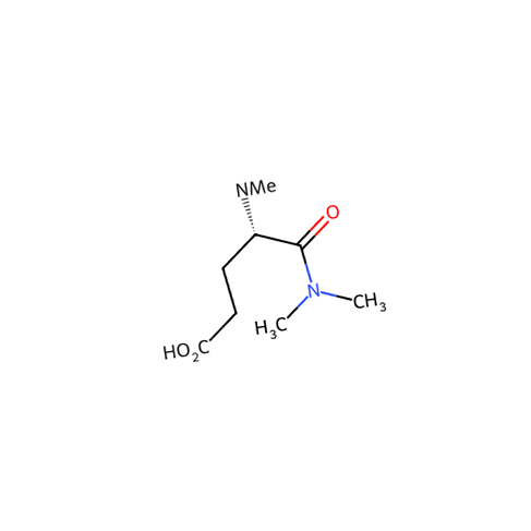 CN[C@@H](CCC(=O)O)C(=O)N(C)C